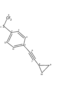 FC(F)(F)Sc1ccc(C#CC2CC2)cc1